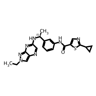 CCn1cc2ncc(N[C@@H](C)c3cccc(NC(=O)c4cnc(C5CC5)s4)c3)nc2n1